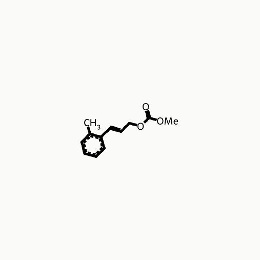 COC(=O)OCC=Cc1ccccc1C